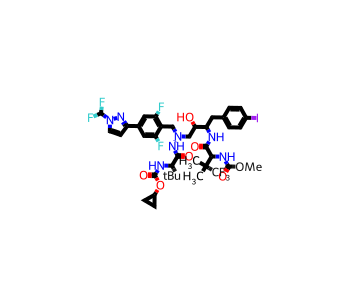 COC(=O)NC(C(=O)NC(Cc1ccc(I)cc1)C(O)CN(Cc1c(F)cc(-c2ccn(C(F)F)n2)cc1F)NC(=O)C(NC(=O)OC1CC1)C(C)(C)C)C(C)(C)C(F)(F)F